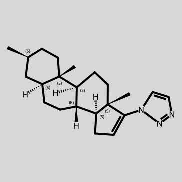 C[C@H]1CC[C@@]2(C)[C@@H](CC[C@@H]3[C@@H]2CC[C@]2(C)C(n4ccnn4)=CC[C@@H]32)C1